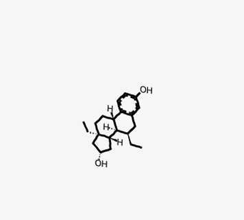 CC[C@@H]1Cc2cc(O)ccc2[C@H]2CC[C@]3(CC)C[C@@H](O)C[C@H]3[C@H]12